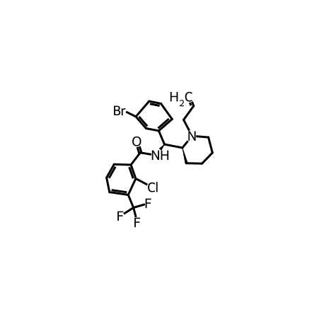 C=CCN1CCCC[C@H]1[C@@H](NC(=O)c1cccc(C(F)(F)F)c1Cl)c1cccc(Br)c1